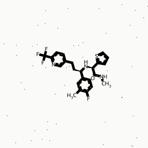 CNC(=O)[C@@H](N[C@H](CCc1ccc(C(F)(F)F)nc1)c1ccc(F)c(C)c1)c1cccs1